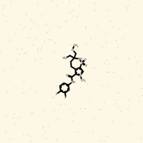 COCC1(CO)CCc2c(cn(C)c2C(=O)Nc2ccc(F)c(F)c2)S(=O)(=O)N1